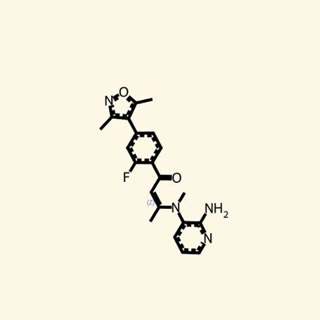 C/C(=C/C(=O)c1ccc(-c2c(C)noc2C)cc1F)N(C)c1cccnc1N